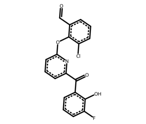 O=Cc1cccc(Cl)c1Oc1cccc(C(=O)c2cccc(F)c2O)n1